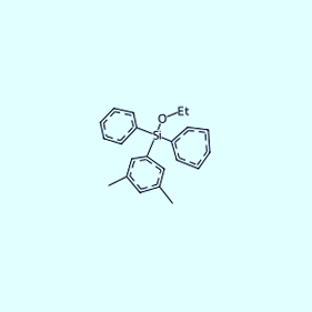 CCO[Si](c1ccccc1)(c1ccccc1)c1cc(C)cc(C)c1